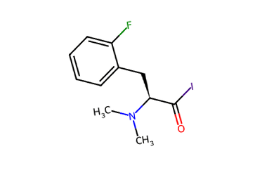 CN(C)[C@@H](Cc1ccccc1F)C(=O)I